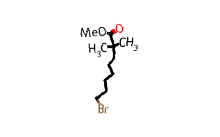 COC(=O)C(C)(C)CCCCCCBr